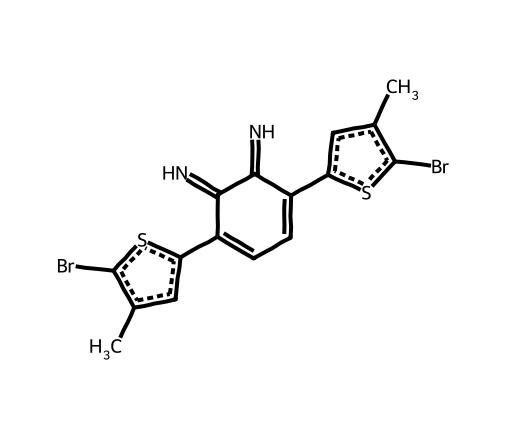 Cc1cc(C2=CC=C(c3cc(C)c(Br)s3)C(=N)C2=N)sc1Br